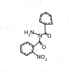 NN(C(=O)c1ccccc1)C(=O)c1ccccc1[N+](=O)[O-]